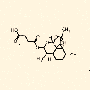 C[C@@H]1CC[C@H]2[C@@H](C)C(OC(=O)CCC(=O)O)O[C@@H]3O[C@@]4(C)CC[C@@H]1C32COO4